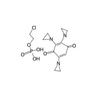 O=C1C=C(N2CC2)C(=O)C(N2CC2)=C1N1CC1.O=P(O)(O)OCCCl